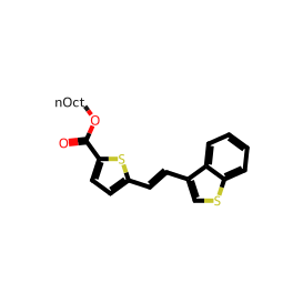 CCCCCCCCOC(=O)c1ccc(/C=C/c2csc3ccccc23)s1